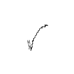 C=C(CCC/C=C/CCCC/C=C/C/C=C/CCCCC)NC